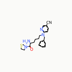 N#Cc1ccc(N(CCCC[C@H](N)C(=O)N2CCSC2)Cc2ccccc2)nc1